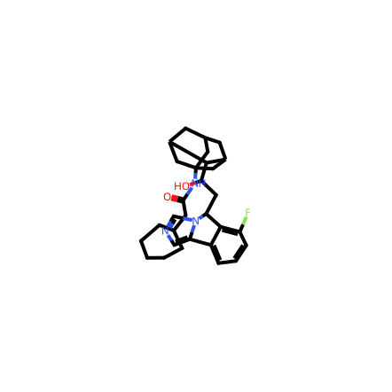 O=C(CC1CCCCC1)NC12CC3CC(C1)C(C(O)CC1c4c(F)cccc4-c4cncn41)C(C3)C2